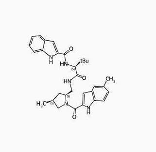 Cc1ccc2[nH]c(C(=O)N3C[C@@H](C)C[C@H]3CNC(=O)[C@@H](NC(=O)c3cc4ccccc4[nH]3)C(C)(C)C)cc2c1